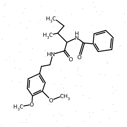 CCC(C)C(NC(=O)c1ccccc1)C(=O)NCCc1ccc(OC)c(OC)c1